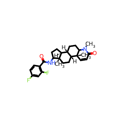 CN1C(=O)C=C[C@@]2(C)C1CC[C@@H]1[C@H]2CC[C@]2(C)C(NC(=O)c3ccc(F)cc3F)CC[C@@H]12